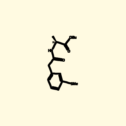 CSc1cccc(CC(=O)N[C@@H](C)C(=O)OCC(C)C)c1